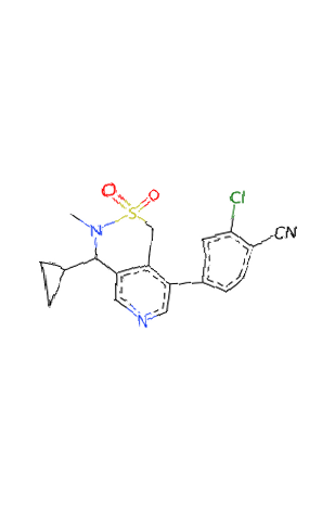 CN1C(C2CC2)c2cncc(-c3ccc(C#N)c(Cl)c3)c2CS1(=O)=O